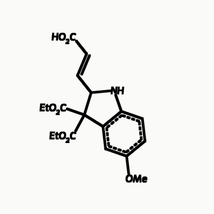 CCOC(=O)C1(C(=O)OCC)c2cc(OC)ccc2NC1/C=C/C(=O)O